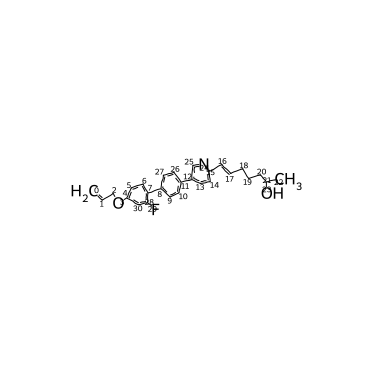 C=CCOc1ccc(-c2ccc(-c3ccc(C=CCCCC(C)O)nc3)cc2)c(F)c1